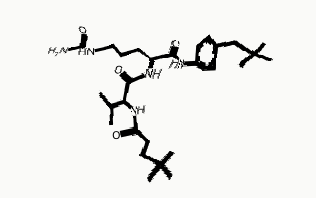 CC(C)C(NC(=O)CCC(C)(C)C)C(=O)N[C@@H](CCCNC(N)=O)C(=O)Nc1ccc(CC(C)(C)C)cc1